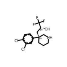 O[C@H](C[C@]1(c2ccc(Cl)c(Cl)c2)CCCNC1)C(F)(F)F